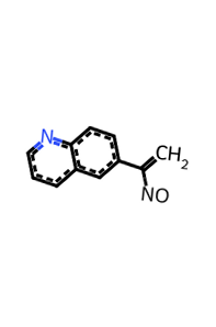 C=C(N=O)c1ccc2ncccc2c1